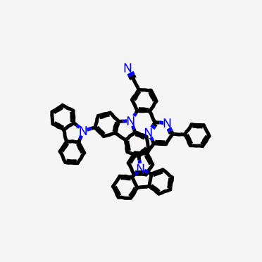 N#Cc1ccc(-c2nc(-c3ccccc3)cc(-c3ccccc3)n2)c(-n2c3ccc(-n4c5ccccc5c5ccccc54)cc3c3cc(-n4c5ccccc5c5ccccc54)ccc32)c1